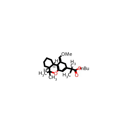 CCCCOC(=O)C(C)(C)C1=CC2=C(C(=COC)C1)[C@H]1CCCC[C@H]1C(C)(C)O2